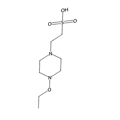 CCON1CCN(CCS(=O)(=O)O)CC1